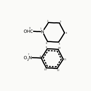 O=CN1CCCCC1.O=[N+]([O-])c1ccccc1